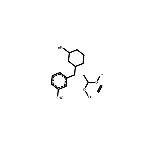 C=C.CCCC1CCCC(Cc2cccc(C=O)c2)C1.CCOC(C)OCC